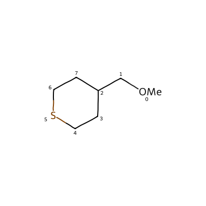 COCC1CCSCC1